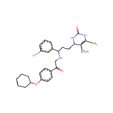 CC1=C(C(=O)O)C(CCC(NCC(=O)c2ccc(OC3CCCCC3)cc2)c2cccc(Cl)c2)NC(=O)N1